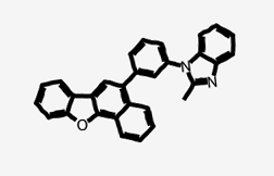 Cc1nc2ccccc2n1-c1cccc(-c2cc3c4ccccc4oc3c3ccccc23)c1